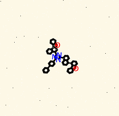 c1ccc(-c2ccc(-c3nc(-c4cccc5c(-c6cccc7oc8ccccc8c67)cccc45)nc(-c4cc5oc6ccccc6c5c5ccccc45)n3)cc2)cc1